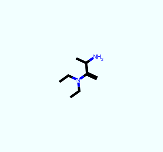 C=C(C(C)N)N(CC)CC